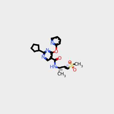 C[C@@H](/C=C/S(C)(=O)=O)NC(=O)c1cnc(C2CCCC2)nc1Oc1ccccn1